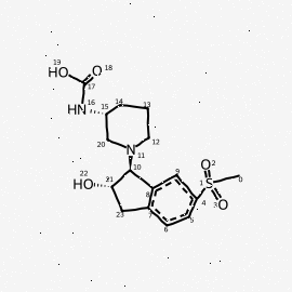 CS(=O)(=O)c1ccc2c(c1)[C@H](N1CCC[C@@H](NC(=O)O)C1)[C@@H](O)C2